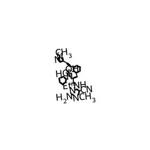 CC[C@H](Nc1nc(N)nc(C)c1C#N)C1=Cc2cccc(C#Cc3cnn(C)c3)c2S(O)(O)N1c1ccccc1